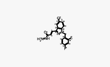 NNC(=O)C=Cc1nn(Cc2ccc(F)cc2F)c2ccc(C(F)(F)F)cc12